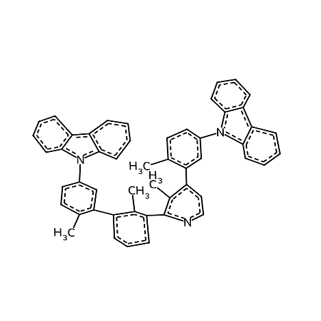 Cc1ccc(-n2c3ccccc3c3ccccc32)cc1-c1cccc(-c2nccc(-c3cc(-n4c5ccccc5c5ccccc54)ccc3C)c2C)c1C